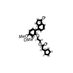 COc1ccc(-c2cccc3c2CCC3=O)c(OCCOC(=O)CC2CCCC2)c1OC